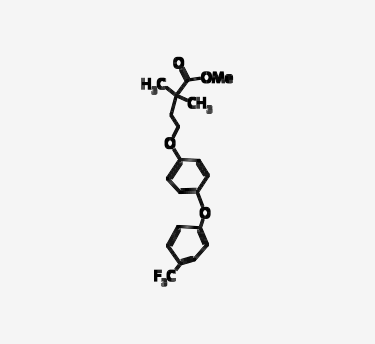 COC(=O)C(C)(C)CCOc1ccc(Oc2ccc(C(F)(F)F)cc2)cc1